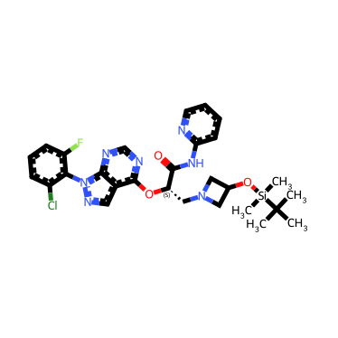 CC(C)(C)[Si](C)(C)OC1CN(C[C@H](Oc2ncnc3c2cnn3-c2c(F)cccc2Cl)C(=O)Nc2ccccn2)C1